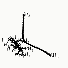 CCCCCCCCCCCCCCCCCCCCCCCCC[CH2][Ni][CH2]CCCCCCCCCCCCCCCCCCCCCCCCC.CCCCCc1cc(C2=C(CC)C(CCCC)=C(c3cc(CCCCC)c(CCCCC)c(CCCCC)c3)[N+]2=[N-])cc(CCCCC)c1CCCCC